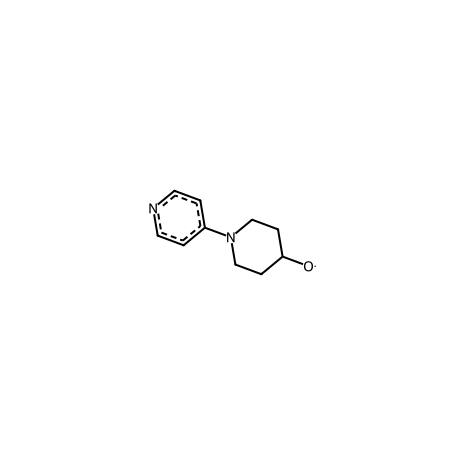 [O]C1CCN(c2ccncc2)CC1